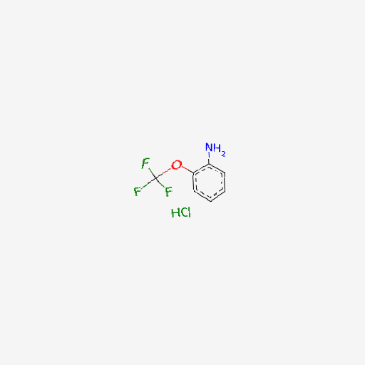 Cl.Nc1ccccc1OC(F)(F)F